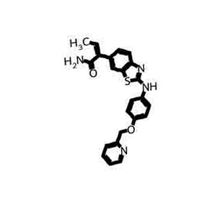 CC=C(C(N)=O)c1ccc2nc(Nc3ccc(OCc4ccccn4)cc3)sc2c1